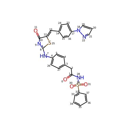 O=C(Cc1ccc(NC2=NC(=O)C(=Cc3ccc(-n4cccn4)cc3)S2)cc1)NS(=O)(=O)c1ccccc1